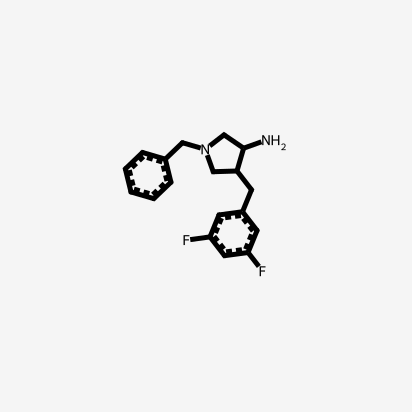 NC1CN(Cc2ccccc2)CC1Cc1cc(F)cc(F)c1